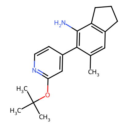 Cc1cc2c(c(N)c1-c1ccnc(OC(C)(C)C)c1)CCC2